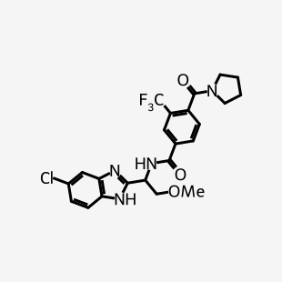 COCC(NC(=O)c1ccc(C(=O)N2CCCC2)c(C(F)(F)F)c1)c1nc2cc(Cl)ccc2[nH]1